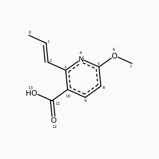 CC=Cc1nc(OC)ccc1C(=O)O